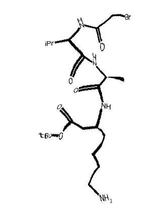 CC(C)C(NC(=O)CBr)C(=O)N[C@@H](C)C(=O)N[C@@H](CCCCN)C(=O)OC(C)(C)C